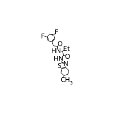 CCC(NC(=O)Cc1cc(F)cc(F)c1)C(=O)Nc1nc2c(s1)CC(C)CC2